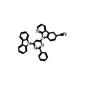 N#CC1C=Cc2c(c3cccnc3n2-c2cc(-n3c4ccccc4c4ccccc43)nc(-c3ccccc3)n2)C1